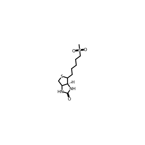 CS(=O)(=O)CCCCCC1SCC2NC(=O)N[C@@H]21